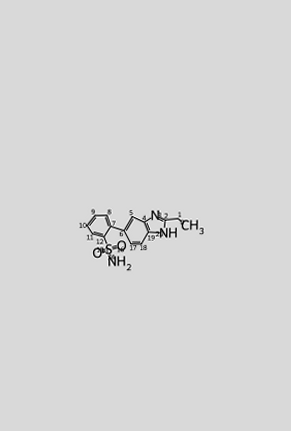 CCc1nc2cc(-c3ccccc3S(N)(=O)=O)ccc2[nH]1